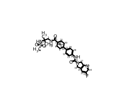 CC(C)(CNC(=O)C12CCC(c3ccc(NC(=O)N4Cc5cc(F)cnc5C4)cc3)(CC1)CC2)NS(C)(=O)=O